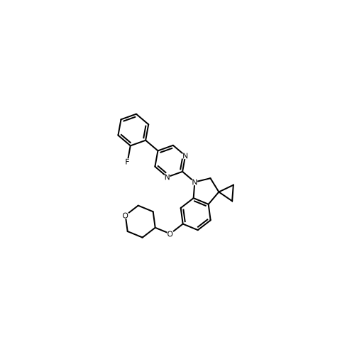 Fc1ccccc1-c1cnc(N2CC3(CC3)c3ccc(OC4CCOCC4)cc32)nc1